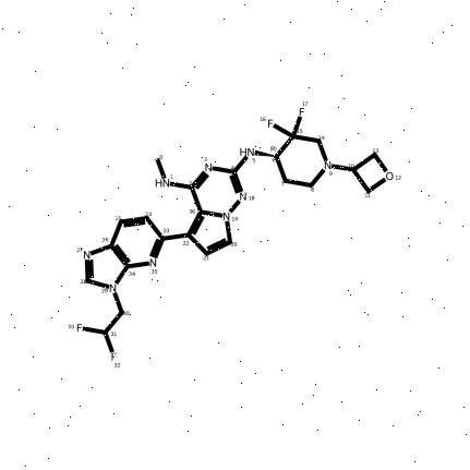 CNc1nc(N[C@@H]2CCN(C3COC3)CC2(F)F)nn2ccc(-c3ccc4ncn(CC(F)F)c4n3)c12